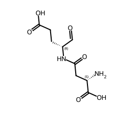 N[C@@H](CC(=O)N[C@@H](C=O)CCC(=O)O)C(=O)O